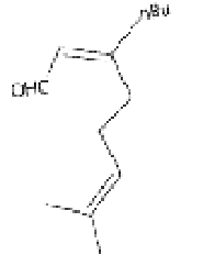 CCCCC(=CC=O)CCC=C(C)C